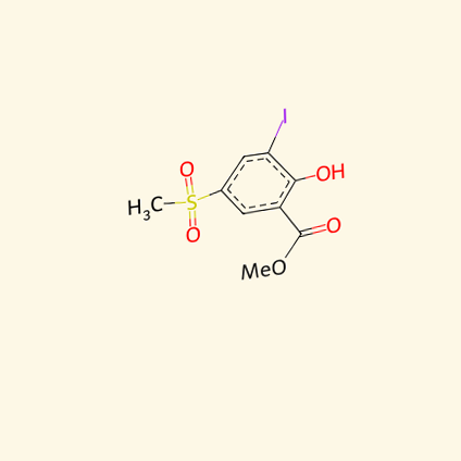 COC(=O)c1cc(S(C)(=O)=O)cc(I)c1O